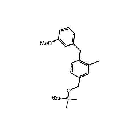 COc1cccc(Cc2ccc(CO[Si](C)(C)C(C)(C)C)cc2C)c1